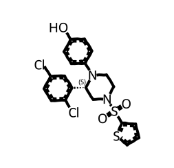 O=S(=O)(c1cccs1)N1CCN(c2ccc(O)cc2)[C@@H](c2cc(Cl)ccc2Cl)C1